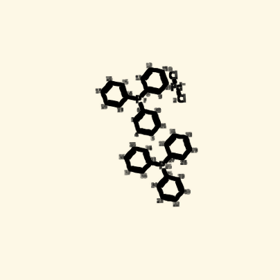 [Cl][Pd-][Cl].c1ccc(P(c2ccccc2)c2ccccc2)cc1.c1ccc(P(c2ccccc2)c2ccccc2)cc1